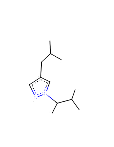 CC(C)Cc1cnn(C(C)C(C)C)c1